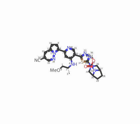 COC[C@@H](C)Nc1cc(-c2ccc3cc(C#N)cnn23)ncc1-c1nnc(N2CC3CCC(C2)N3C(=O)OC(C)(C)C)s1